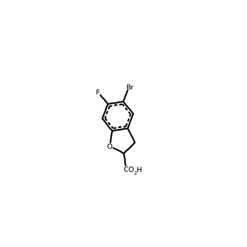 O=C(O)C1Cc2cc(Br)c(F)cc2O1